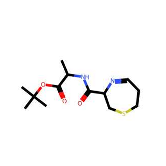 CC(NC(=O)C1CS[CH]C[C]=N1)C(=O)OC(C)(C)C